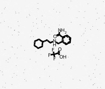 NC(=O)c1ccccc1CNCCC1CCCCC1.O=C(O)C(F)(F)F